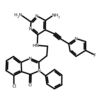 Nc1nc(N)c(C#Cc2ccc(F)cn2)c(NCCc2nc3cccc(Cl)c3c(=O)n2-c2ccccc2)n1